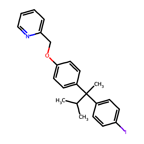 CC(C)C(C)(c1ccc(I)cc1)c1ccc(OCc2ccccn2)cc1